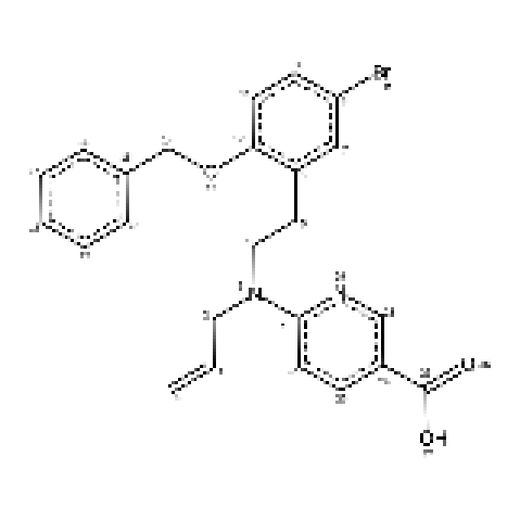 C=CCN(CCc1cc(Br)ccc1OCc1ccccc1)c1ccc(C(=O)O)cn1